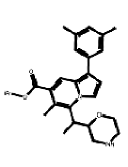 Cc1cc(C)cc(-c2ccn3c(C(C)C4CNCCO4)c(C)c(C(=O)OC(C)C)cc23)c1